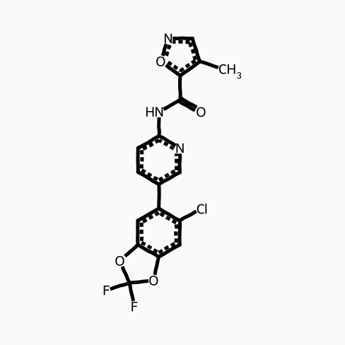 Cc1cnoc1C(=O)Nc1ccc(-c2cc3c(cc2Cl)OC(F)(F)O3)cn1